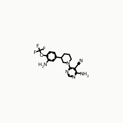 N#Cc1c(N)ncnc1N1CCCC(c2ccc(OC(F)(F)F)c(N)c2)C1